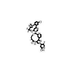 C[C@@H]1CCC[C@H](n2cnc(-c3cc(Cl)ccc3-n3cc(C(F)(F)F)nn3)cc2=O)c2cc(ccn2)-c2nn(-c3cc(O)ncc3F)cc2NC1=O